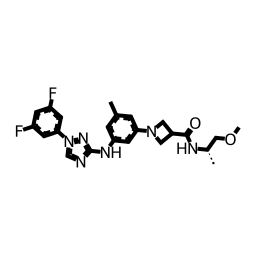 COC[C@H](C)NC(=O)C1CN(c2cc(C)cc(Nc3ncn(-c4cc(F)cc(F)c4)n3)c2)C1